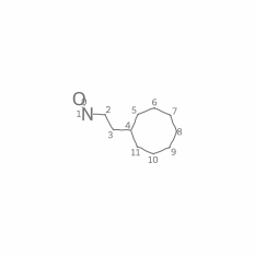 O=NCCC1CCCCCCC1